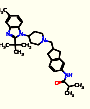 Cc1ccc2c(c1)nc(C(C)(C)C)n2C1CCN(CC2Cc3ccc(NC(=O)C(C)C)cc3C2)CC1